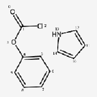 O=C(Cl)Oc1ccccc1.c1cc[nH]c1